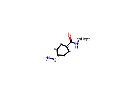 CCCCCCCNC(=O)[C@H]1CC[C@H](CN)CC1